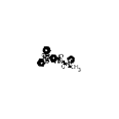 CCN(C(=O)CNC(=O)c1ccc(S(=O)(=O)N(Oc2ccccc2)c2ccccc2)cc1)N1CCCC1